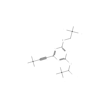 CC(Nc1nc(C#CC(C)(C)C)nc(NCC(F)(F)F)n1)C(F)(F)F